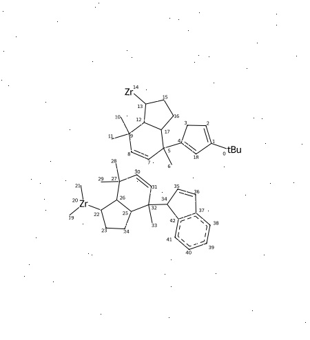 CC(C)(C)C1=CCC(C2(C)C=CC(C)(C)C3[CH]([Zr])CCC32)=C1.[CH3][Zr]([CH3])[CH]1CCC2C1C(C)(C)C=CC2(C)C1C=Cc2ccccc21